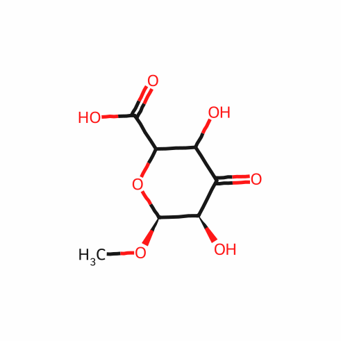 CO[C@H]1OC(C(=O)O)C(O)C(=O)[C@H]1O